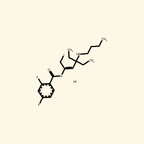 CCCCNC(C=C(CI)OC(=O)c1ccc(F)cc1F)(CC)CC.I